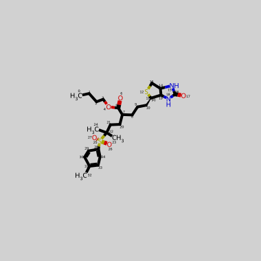 CCCCOC(=O)C(CCC[C@H]1SCC2NC(=O)NC21)CCC(C)(C)S(=O)(=O)c1ccc(C)cc1